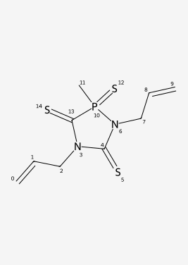 C=CCN1C(=S)N(CC=C)P(C)(=S)C1=S